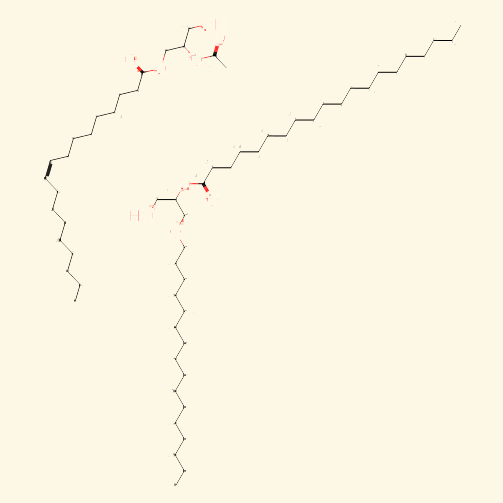 CCCCCCCC/C=C\CCCCCCCC(=O)OCC(CO)OC(C)=O.CCCCCCCCCCCCCCCCCCCC(=O)OC(CO)COCCCCCCCCCCCCCCCC